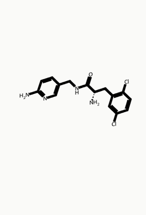 Nc1ccc(CNC(=O)[C@@H](N)Cc2cc(Cl)ccc2Cl)cn1